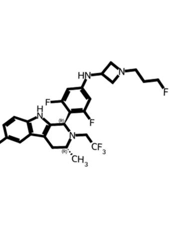 C[C@@H]1Cc2c([nH]c3ccc(F)cc23)[C@@H](c2c(F)cc(NC3CN(CCCF)C3)cc2F)N1CC(F)(F)F